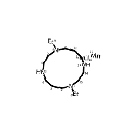 CCN1CCCNCCN(CC)CCCNCC1.Cl.[Mn]